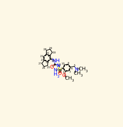 COc1cc(CN(C)C)ccc1[S@](N)(=O)=NC(=O)Nc1c2c(cc3c1CCC3)CCC2